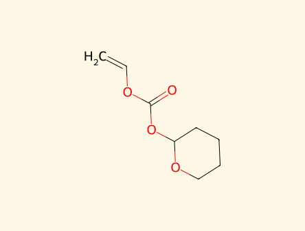 C=COC(=O)OC1CCCCO1